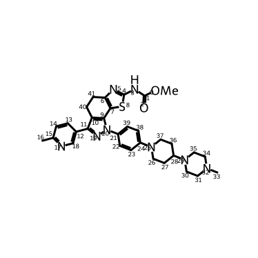 COC(=O)Nc1nc2c(s1)-c1c(c(-c3ccc(C)nc3)nn1-c1ccc(N3CCC(N4CCN(C)CC4)CC3)cc1)CC2